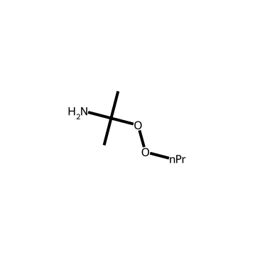 CCCOOC(C)(C)N